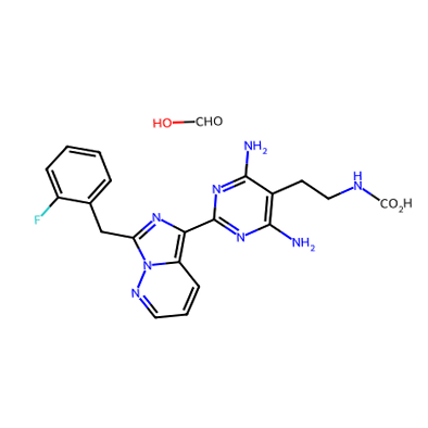 Nc1nc(-c2nc(Cc3ccccc3F)n3ncccc23)nc(N)c1CCNC(=O)O.O=CO